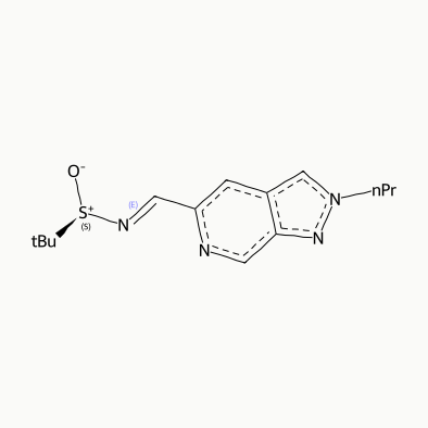 CCCn1cc2cc(/C=N/[S@+]([O-])C(C)(C)C)ncc2n1